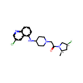 C[C@@H]1C[C@H](F)CN1C(=O)CN1CCC(Nc2cccc3ncc(Cl)cc23)CC1